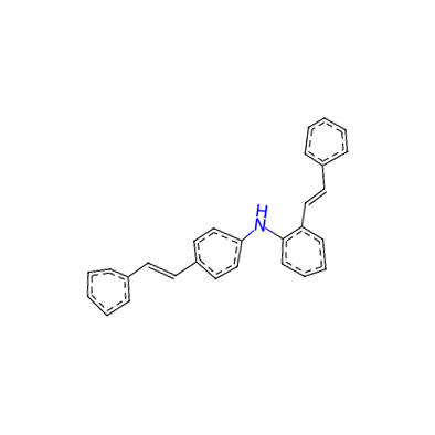 C(=Cc1ccc(Nc2ccccc2C=Cc2ccccc2)cc1)c1ccccc1